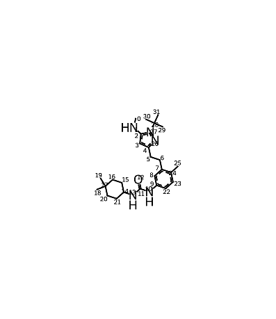 CNc1cc(CCc2cc(NC(=O)NC3CCC(C)(C)CC3)ccc2C)nn1C(C)(C)C